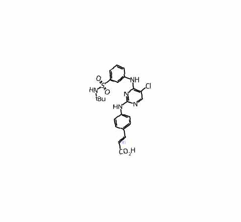 CC(C)(C)NS(=O)(=O)c1cccc(Nc2nc(Nc3ccc(/C=C/C(=O)O)cc3)ncc2Cl)c1